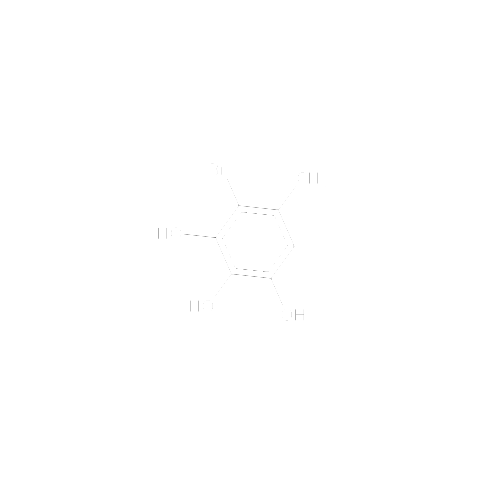 Cc1cc(O)c(O)c(O)c1Br